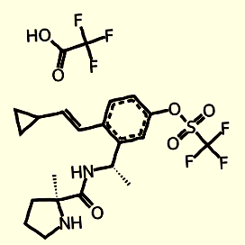 C[C@H](NC(=O)[C@]1(C)CCCN1)c1cc(OS(=O)(=O)C(F)(F)F)ccc1/C=C/C1CC1.O=C(O)C(F)(F)F